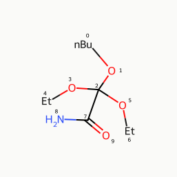 CCCCOC(OCC)(OCC)C(N)=O